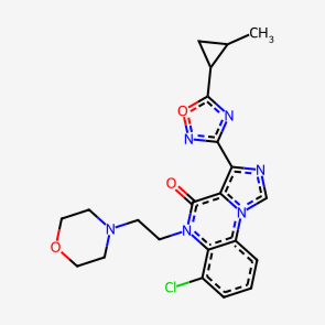 CC1CC1c1nc(-c2ncn3c2c(=O)n(CCN2CCOCC2)c2c(Cl)cccc23)no1